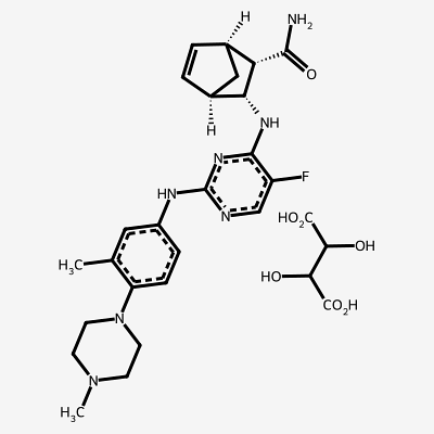 Cc1cc(Nc2ncc(F)c(N[C@H]3[C@@H](C(N)=O)[C@@H]4C=C[C@H]3C4)n2)ccc1N1CCN(C)CC1.O=C(O)C(O)C(O)C(=O)O